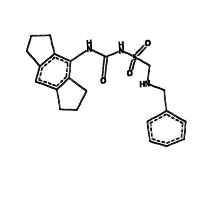 O=C(Nc1c2c(cc3c1CCC3)CCC2)NS(=O)(=O)CNCc1ccccc1